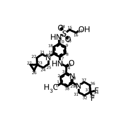 Cc1cc(C(=O)Nc2ccc(NS(=O)(=O)CCO)cc2N2CCC3(CC2)CC3)nc(N2CCC(F)(F)CC2)c1